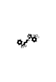 CCN(C(=O)CCCSc1nnnn1C1CCCCC1[N+](=O)[O-])C1CCCCC1